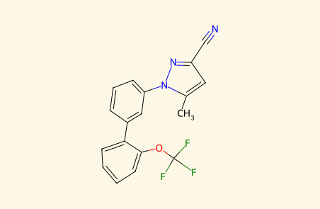 Cc1cc(C#N)nn1-c1cccc(-c2ccccc2OC(F)(F)F)c1